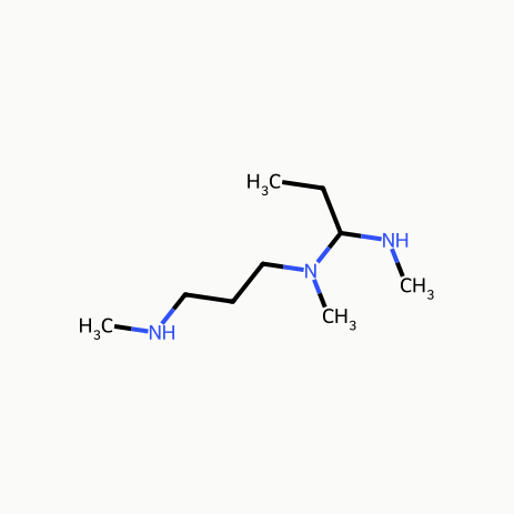 CCC(NC)N(C)CCCNC